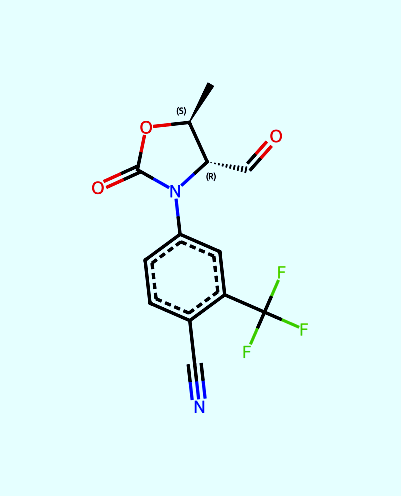 C[C@@H]1OC(=O)N(c2ccc(C#N)c(C(F)(F)F)c2)[C@H]1C=O